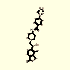 Cc1c([C@@H](O)CN2CCC(NC(=O)c3ccc(-n4cnnn4)cc3)CC2)ccc2c1COC2=O